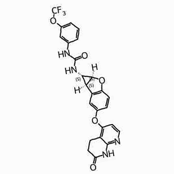 O=C1CCc2c(Oc3ccc4c(c3)[C@H]3[C@H](NC(=O)Nc5cccc(OC(F)(F)F)c5)[C@H]3O4)ccnc2N1